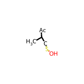 CC(=O)C(C)CSO